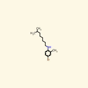 Cc1cc(Br)ccc1NCCCCCCC(C)C